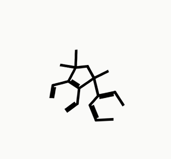 C=CC1=C(C=C)C(C)(C(/C=C\C)=C/C)CC1(C)C